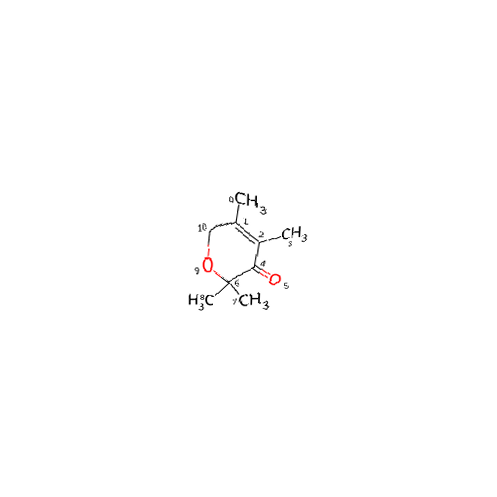 CC1=C(C)C(=O)C(C)(C)OC1